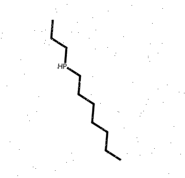 CCCCCCCPCCC